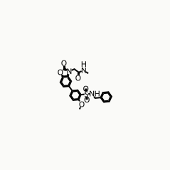 CNC(=O)Cn1c(=O)oc2ccc(-c3ccc(OC)c(S(=O)(=O)NCc4ccccc4)c3)cc21